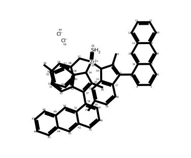 CC1=C(c2cccc3cc4ccccc4cc23)c2ccc(C)cc2[CH]1[Zr+2](=[SiH2])([CH2]c1ccccc1)[CH]1C(C)=C(c2cccc3cc4ccccc4cc23)c2ccc(C)cc21.[Cl-].[Cl-]